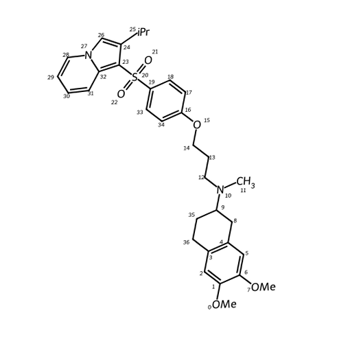 COc1cc2c(cc1OC)CC(N(C)CCCOc1ccc(S(=O)(=O)c3c(C(C)C)cn4ccccc34)cc1)CC2